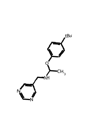 CC(NCc1cncnc1)Oc1ccc(C(C)(C)C)cc1